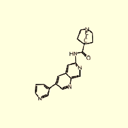 O=C(Nc1cc2cc(-c3cccnc3)cnc2cn1)C12CCN(CC1)CC2